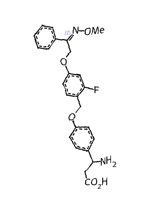 CO/N=C(\COc1ccc(COc2ccc(C(N)CC(=O)O)cc2)c(F)c1)c1ccccc1